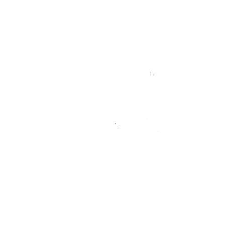 CC(C)c1ccc(C#N)c(C2CC2)n1